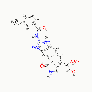 CN1CC[C@@H](c2cc3[nH]/c(=N/C(=O)c4cccc(C(F)(F)F)c4)[nH]c3cc2CC[C@H](O)CO)C1=O